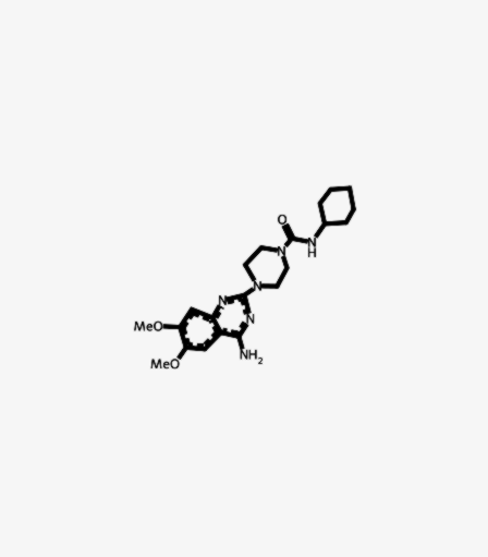 COc1cc2nc(N3CCN(C(=O)NC4CCCCC4)CC3)nc(N)c2cc1OC